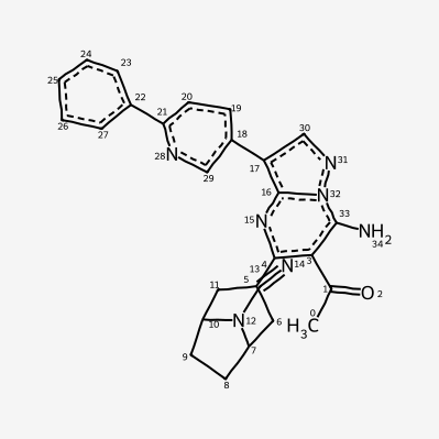 CC(=O)c1c(C2CC3CCC(C2)N3C#N)nc2c(-c3ccc(-c4ccccc4)nc3)cnn2c1N